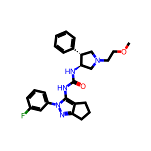 COCCN1C[C@@H](NC(=O)Nc2c3c(nn2-c2cccc(F)c2)CCC3)[C@H](c2ccccc2)C1